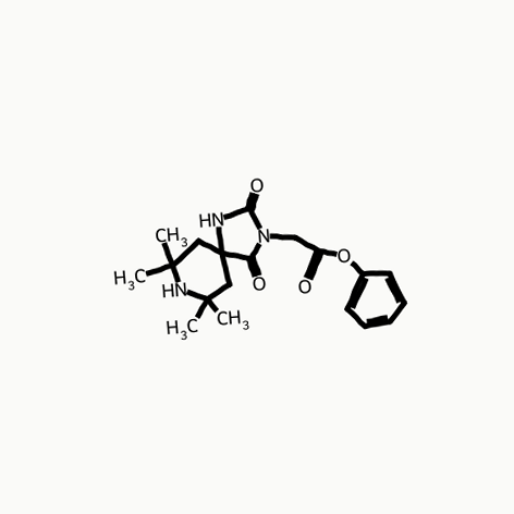 CC1(C)CC2(CC(C)(C)N1)NC(=O)N(CC(=O)Oc1ccccc1)C2=O